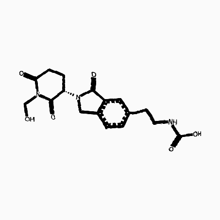 O=C(O)NCCc1ccc2c(c1)C(=O)N([C@H]1CCC(=O)N(CO)C1=O)C2